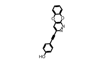 Oc1ccc(C#Cc2cc3c(nn2)Oc2ccccc2O3)cc1